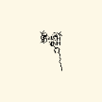 CCCCCCCCc1ccc(-c2cnc(C(C)(COP(=O)(OC(C)(C)C)OC(C)(C)C)NC(=O)OC(C)(C)C)[nH]2)cc1